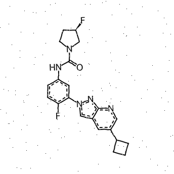 O=C(Nc1ccc(F)c(-n2cc3cc(C4CCC4)cnc3n2)c1)N1CC[C@@H](F)C1